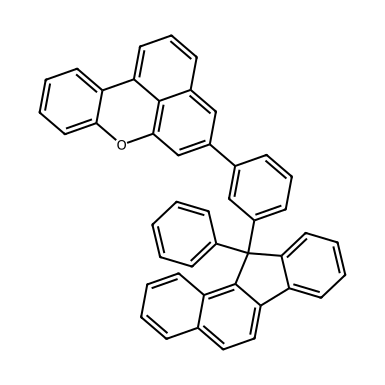 c1ccc(C2(c3cccc(-c4cc5c6c(cccc6c4)-c4ccccc4O5)c3)c3ccccc3-c3ccc4ccccc4c32)cc1